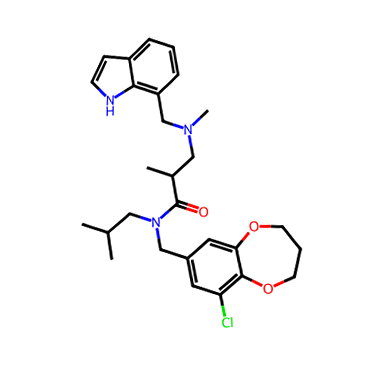 CC(C)CN(Cc1cc(Cl)c2c(c1)OCCCO2)C(=O)C(C)CN(C)Cc1cccc2cc[nH]c12